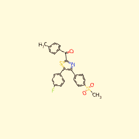 Cc1ccc(C(=O)c2nc(-c3ccc(S(C)(=O)=O)cc3)c(-c3ccc(F)cc3)s2)cc1